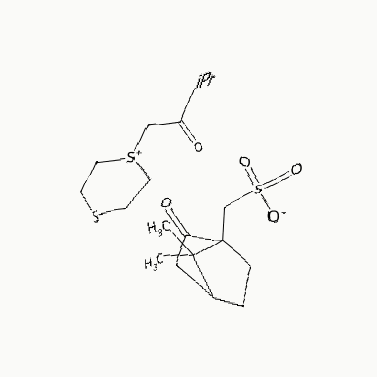 CC(C)C(=O)C[S+]1CCSCC1.CC1(C)C2CCC1(CS(=O)(=O)[O-])C(=O)C2